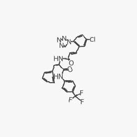 O=C(/C=C/c1cc(Cl)ccc1-n1cnnn1)NC(Cc1ccccc1)C(=O)Nc1ccc(C(F)(F)F)cc1